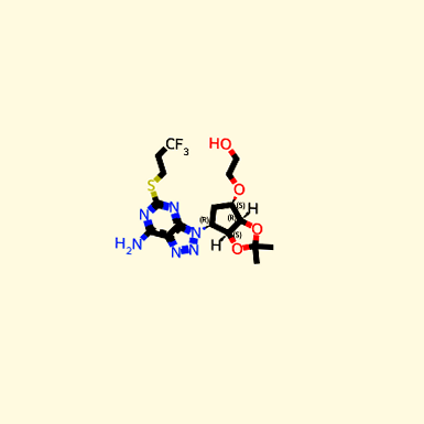 CC1(C)O[C@@H]2[C@H](O1)[C@@H](OCCO)C[C@H]2n1nnc2c(N)nc(SCCC(F)(F)F)nc21